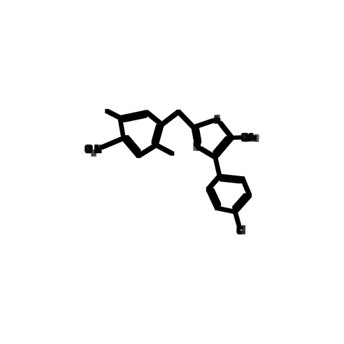 CC(=O)Oc1sc(Cc2cc(C)c([N+](=O)[O-])cc2C)nc1-c1ccc(Cl)cc1